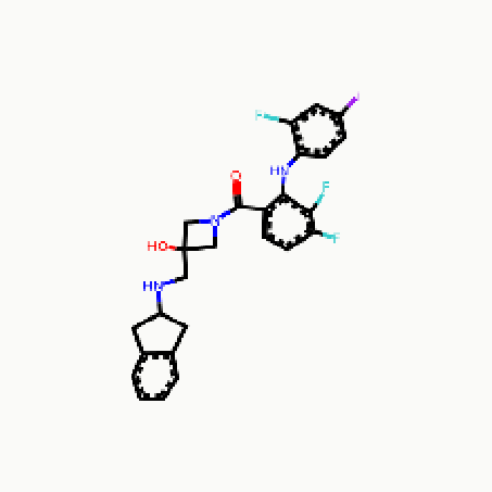 O=C(c1ccc(F)c(F)c1Nc1ccc(I)cc1F)N1CC(O)(CNC2Cc3ccccc3C2)C1